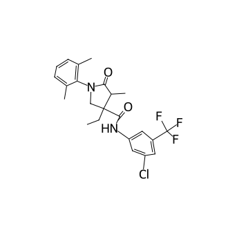 CCC1(C(=O)Nc2cc(Cl)cc(C(F)(F)F)c2)CN(c2c(C)cccc2C)C(=O)C1C